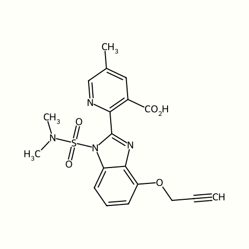 C#CCOc1cccc2c1nc(-c1ncc(C)cc1C(=O)O)n2S(=O)(=O)N(C)C